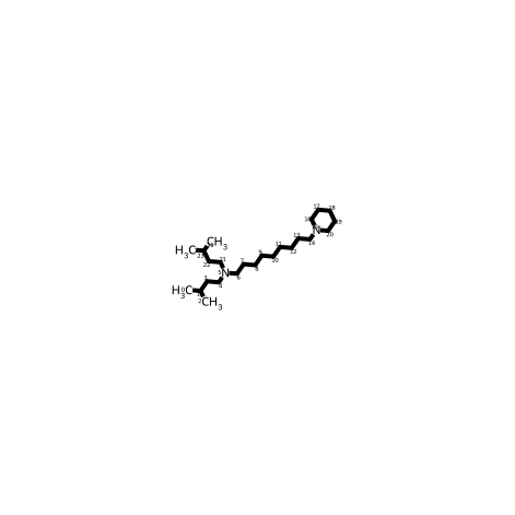 CC(C)CCN(CCCCCCCCCN1CCCCC1)CCC(C)C